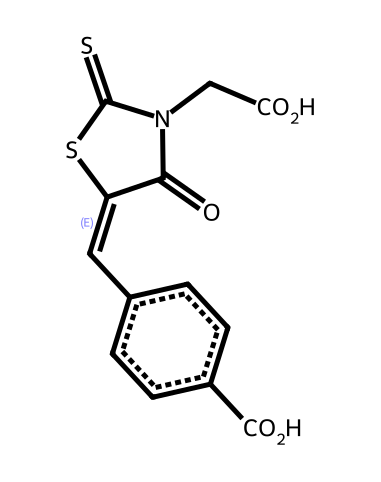 O=C(O)CN1C(=O)/C(=C\c2ccc(C(=O)O)cc2)SC1=S